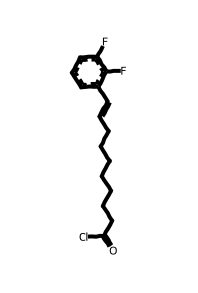 O=C(Cl)CCCCCCCC=Cc1cccc(F)c1F